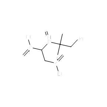 C=[PH](CC)CC([PH](=C)CC)[PH](=C)C(C)(C)CC(C)C